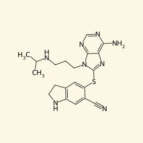 CC(C)NCCCn1c(Sc2cc3c(cc2C#N)NCC3)nc2c(N)ncnc21